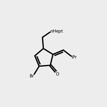 CCCCCCCCC1C=C(Br)C(=O)C1=CC(C)C